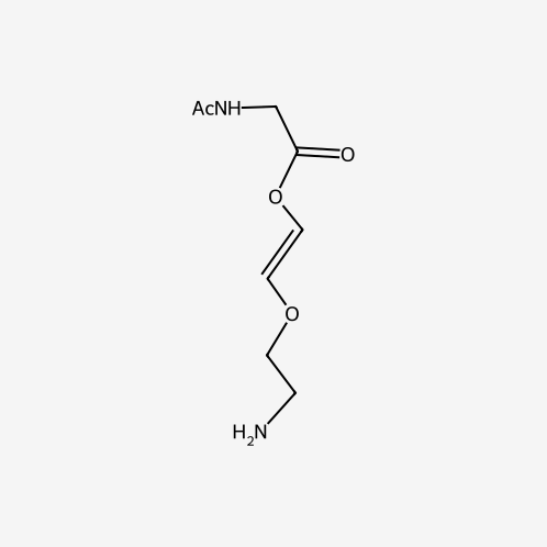 CC(=O)NCC(=O)OC=COCCN